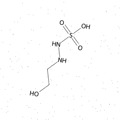 O=S(=O)(O)NNCCO